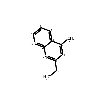 CCc1cc(C)c2cccnc2n1